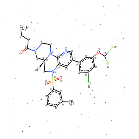 O=C(O)CCC(=O)N1CCN2c3ncc(-c4cc(Cl)cc(OC(F)F)c4)cc3N(S(=O)(=O)c3cccc(C(F)(F)F)c3)C[C@@H]2C1